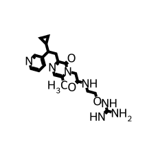 Cc1cnc(CC(c2cccnc2)C2CC2)c(=O)n1CC(=O)NCCONC(=N)N